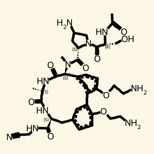 CC(=O)N[C@H](CO)C(=O)N1CC(N)C[C@H]1C(=O)N(C)[C@@H]1C(=O)N[C@@H](C)C(=O)N[C@H](C(=O)NCC#N)Cc2ccc(OCCN)c(c2)-c2cc1ccc2OCCN